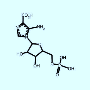 Nc1c(C(=O)O)ncn1C1OC(COP(=O)(O)O)C(O)C1O